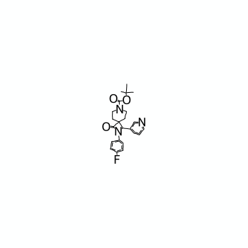 CC(C)(C)OC(=O)N1CCC2(CC1)C(=O)N(c1ccc(F)cc1)C2c1cccnc1